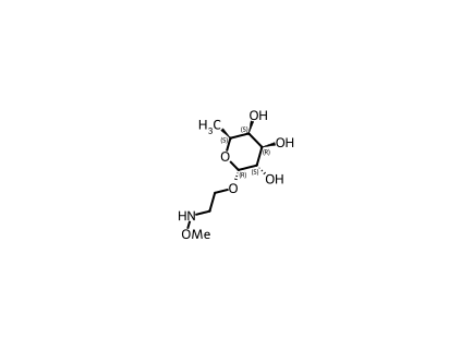 CONCCO[C@@H]1O[C@@H](C)[C@@H](O)[C@@H](O)[C@@H]1O